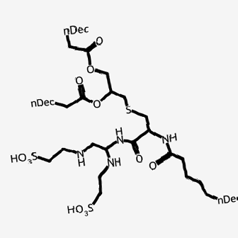 CCCCCCCCCCCCCCC(=O)NC(CSCC(COC(=O)CCCCCCCCCCC)OC(=O)CCCCCCCCCCC)C(=O)NC(CNCCS(=O)(=O)O)NCCS(=O)(=O)O